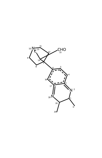 CC1N=c2ccc(C34CCN(CC3)CC4C=O)cc2=NC1C